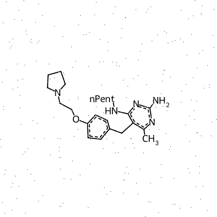 CCCCCNc1nc(N)nc(C)c1Cc1ccc(OCCN2CCCC2)cc1